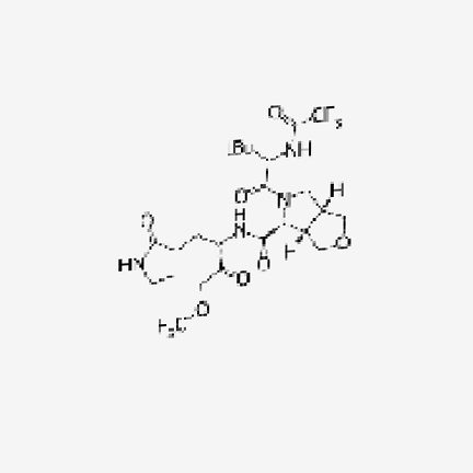 CC(C)(C)C(NC(=O)C(F)(F)F)C(=O)N1C[C@@H]2COC[C@@H]2[C@H]1C(=O)NC(CC1CCNC1=O)C(=O)COC(F)(F)F